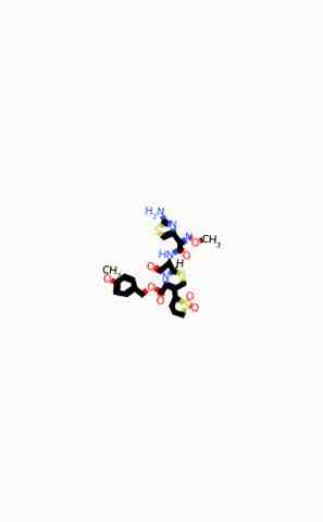 CO/N=C(\C(=O)N[C@@H]1C(=O)N2C(C(=O)OCc3ccc(OC)cc3)=C(C3CCCS3(=O)=O)CS[C@H]12)c1csc(N)n1